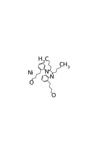 CCCCC(=Nc1ccccc1CCCC=O)C(CCCC)=Nc1ccccc1CCCC=O.[Ni]